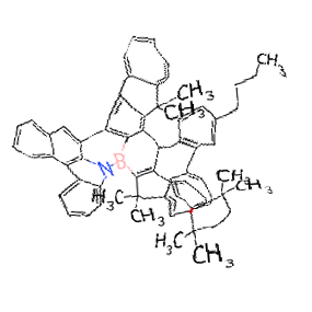 CCCCc1ccc(C2C3=C(B4c5c(cc6c(c52)C(C)(C)c2ccccc2-6)-c2cc5ccccc5c5c6ccccc6n4c25)C(C)(C)c2cc4c(cc23)C(C)(C)CCC4(C)C)c(-c2ccccc2)c1